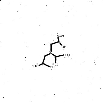 CCCCCCCCC(O)CN(CC(O)CCCCCCCC)C(CC)C(=O)O